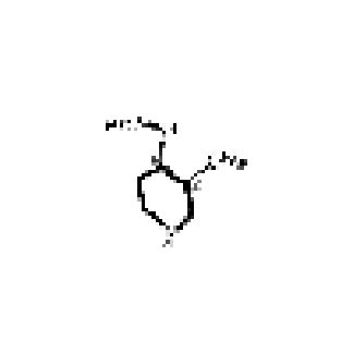 CO[C@@H]1CNCC[C@H]1NC(=O)O